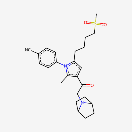 Cc1c(C(=O)CN2C3CCC2CC3)cc(CCCCS(C)(=O)=O)n1-c1ccc(C#N)cc1